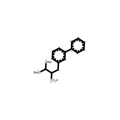 COC(OC)C(Cc1cccc(-c2ccccc2)c1)C(=O)O